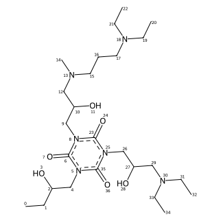 CCC(O)Cn1c(=O)n(CC(O)CN(C)CCCN(CC)CC)c(=O)n(CC(O)CN(CC)CC)c1=O